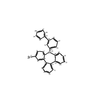 Brc1ccc2c(c1)-c1ccccc1-c1ccccc1N2c1cccc(-c2ccccc2)c1